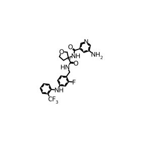 Nc1cncc(C(=O)N[C@@]2(C(=O)NCc3ccc(Nc4ccccc4C(F)(F)F)cc3F)CCOC2)c1